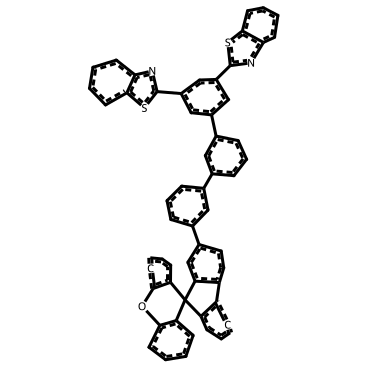 c1cc(-c2cccc(-c3ccc4c(c3)C3(c5ccccc5Oc5ccccc53)c3ccccc3-4)c2)cc(-c2cc(-c3nc4ccccc4s3)cc(-c3nc4ccccc4s3)c2)c1